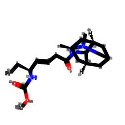 CC(C)C[C@@H](/C=C/CC(=O)NC1[C@@H]2CC3C[C@H]1C[C@](C)(C2)N3C)NC(=O)OC(C)(C)C